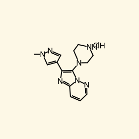 Cl.Cn1cc(-c2nc3cccnn3c2N2CCNCC2)cn1